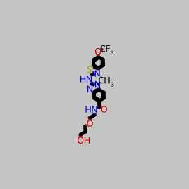 Cn1c(Nc2nc3ccc(OC(F)(F)F)cc3s2)nc2cc(C(=O)NCCOCCCO)ccc21